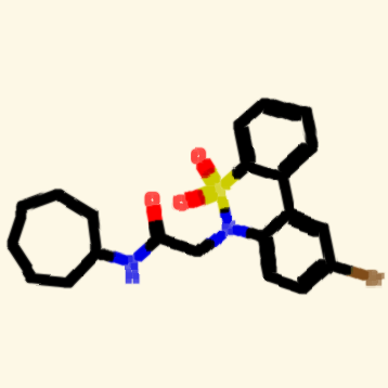 O=C(CN1c2ccc(Br)cc2-c2ccccc2S1(=O)=O)NC1CCCCCC1